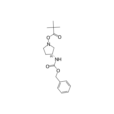 CC(C)(C)C(=O)ON1CC[C@@H](NC(=O)OCc2ccccc2)C1